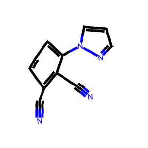 N#Cc1cccc(-n2cc[c]n2)c1C#N